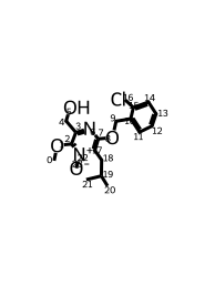 COc1c(CO)nc(OCc2ccccc2Cl)c(CC(C)C)[n+]1[O-]